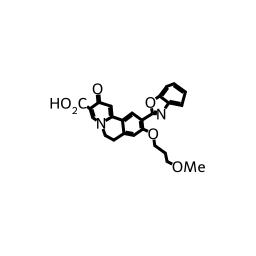 COCCCOc1cc2c(cc1-c1nc3ccccc3o1)-c1cc(=O)c(C(=O)O)cn1CC2